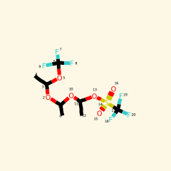 CC(OC(C)OC(F)(F)F)OC(C)OS(=O)(=O)C(F)(F)F